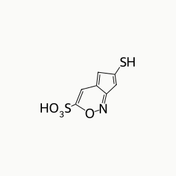 O=S(=O)(O)c1cc2cc(S)cc-2no1